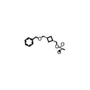 CS(=O)(=O)OC[C@H]1C[C@@H](COCc2ccccc2)C1